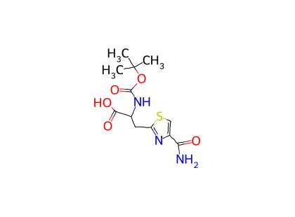 CC(C)(C)OC(=O)NC(Cc1nc(C(N)=O)cs1)C(=O)O